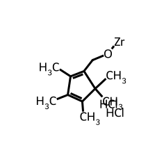 CC1=C(C)C(C)(C)C(C[O][Zr])=C1C.Cl.Cl